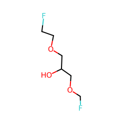 OC(COCF)COCCF